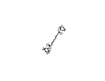 CN1CC(C)(C)CC(OC(=O)CCCCCCCCC(=O)OC2CC(C)(C)CN(C)C2(C)C)C1(C)C